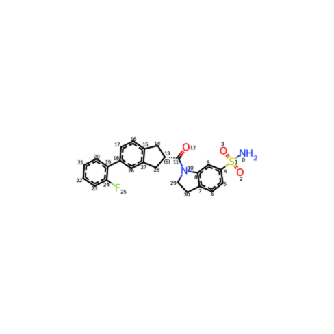 NS(=O)(=O)c1ccc2c(c1)N(C(=O)[C@H]1Cc3ccc(-c4ccccc4F)cc3C1)CC2